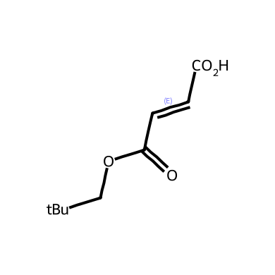 CC(C)(C)COC(=O)/C=C/C(=O)O